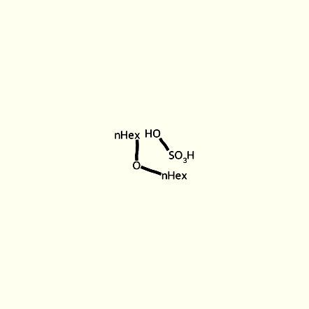 CCCCCCOCCCCCC.O=S(=O)(O)O